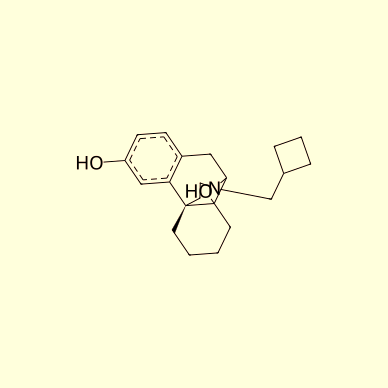 Oc1ccc2c(c1)[C@@]13CCCCC1(O)C(C2)N(CC1CCC1)CC3